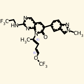 C/C(=C\C=C\OC(F)(F)F)n1c(=O)c(-c2ccc3nn(C)cc3c2)cc2cnc(NCC(F)(F)F)nc21